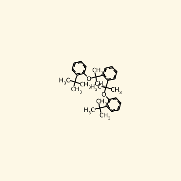 CC(C)(C)c1ccccc1OC(C)(C)c1ccccc1C(C)(C)Oc1ccccc1C(C)(C)C